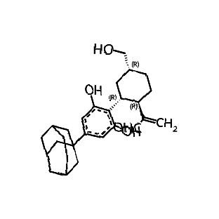 C=C(C=O)[C@@H]1CC[C@@H](CO)C[C@H]1c1c(O)cc(C23CC4CC(CC(C4)C2)C3)cc1O